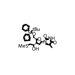 CSCC(O)[C@H]1C[C@H](n2cc(C)c(=O)[nH]c2=O)O[C@@H]1CO[Si](c1ccccc1)(c1ccccc1)C(C)(C)C